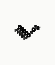 [C]=O.[C]=O.[C]=O.[C]=O.[C]=O.[C]=O.[Ta]